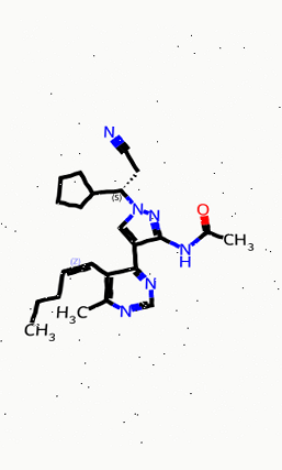 CCC/C=C\c1c(C)ncnc1-c1cn([C@@H](CC#N)C2CCCC2)nc1NC(C)=O